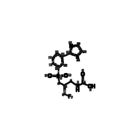 O=C(O)NC/C(=C\F)CS(=O)(=O)c1cccc(-c2nccs2)c1